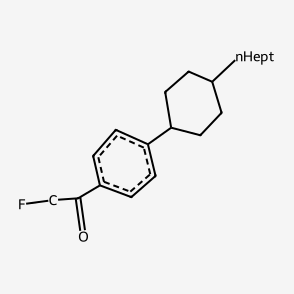 CCCCCCCC1CCC(c2ccc(C(=O)CF)cc2)CC1